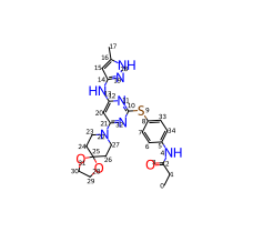 CCC(=O)Nc1ccc(Sc2nc(Nc3cc(C)[nH]n3)cc(N3CCC4(CC3)OCCO4)n2)cc1